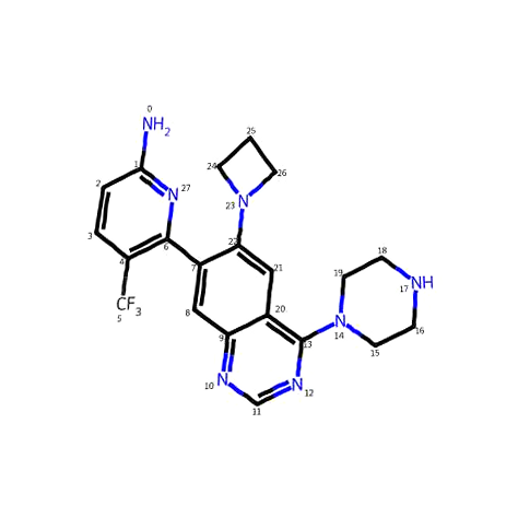 Nc1ccc(C(F)(F)F)c(-c2cc3ncnc(N4CCNCC4)c3cc2N2CCC2)n1